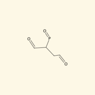 O=CCC(C=O)P=O